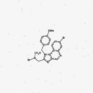 CCN(Cc1nc2cnc3cc(Br)ccc3c2n1Cc1ccc(OC)cc1)C(=O)O